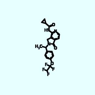 CC(c1ccc(OC(F)(F)C(F)F)cc1)N1Cc2c(ccnc2NC(=O)C2CC2)C1=O